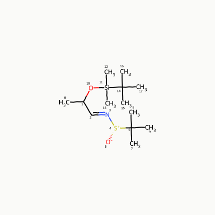 CC(C=N[S@@+]([O-])C(C)(C)C)O[Si](C)(C)C(C)(C)C